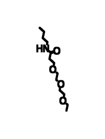 CCCCNC(=O)CCOCCOCCOCC